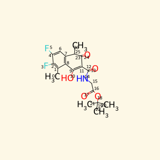 Cc1c(F)c(F)cc2c1C(O)=C(C(=O)NCC(=O)OC(C)(C)C)C(=O)C2C